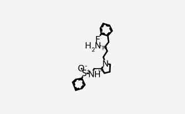 N[C@@H](CCN1CCC[C@H]1CN[S+]([O-])c1ccccc1)Cc1ccccc1F